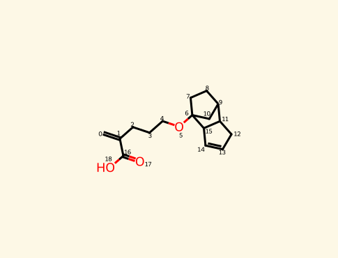 C=C(CCCOC12CCC(C1)C1CC=CC12)C(=O)O